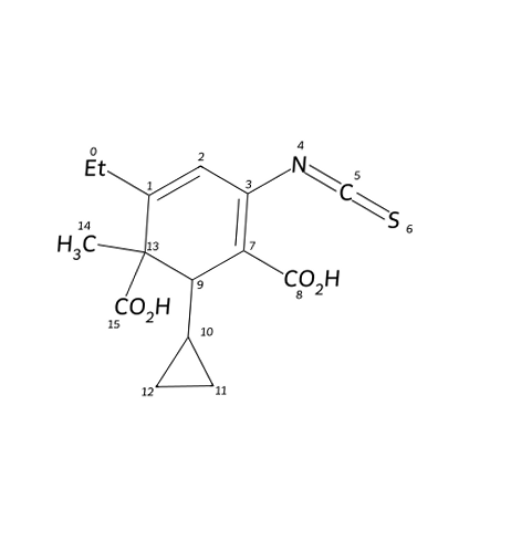 CCC1=CC(N=C=S)=C(C(=O)O)C(C2CC2)C1(C)C(=O)O